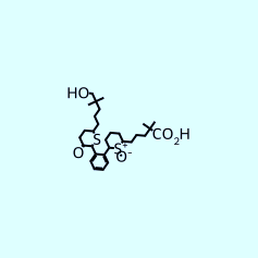 CC(C)(CO)CCCC1CCC(=O)C(c2ccccc2C2CCCC(CCCC(C)(C)C(=O)O)[S+]2[O-])S1